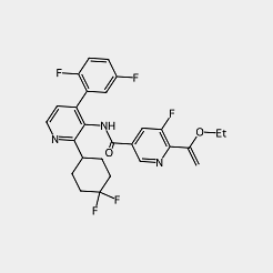 C=C(OCC)c1ncc(C(=O)Nc2c(-c3cc(F)ccc3F)ccnc2C2CCC(F)(F)CC2)cc1F